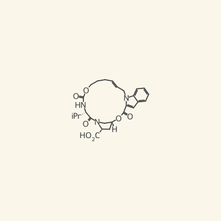 CC(C)[C@@H]1NC(=O)OCCC/C=C/Cn2c(cc3ccccc32)C(=O)O[C@@H]2C[C@@H](C(=O)O)N(C2)C1=O